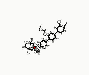 COCOc1cc(-c2ccn(C)c(=O)c2)ccc1-c1ccc(N(C)[C@H]2C[C@]3(C)CC[C@](C)(C2)N3C(=O)O)nn1